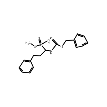 COP(=O)(O)C(CCc1ccccc1)NC(=O)OCc1ccccc1